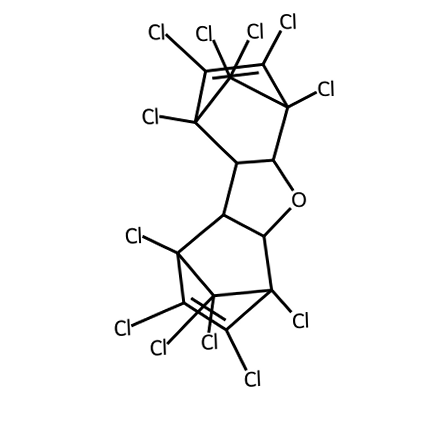 ClC1=C(Cl)C2(Cl)C3C(OC4C3C3(Cl)C(Cl)=C(Cl)C4(Cl)C3(Cl)Cl)C1(Cl)C2(Cl)Cl